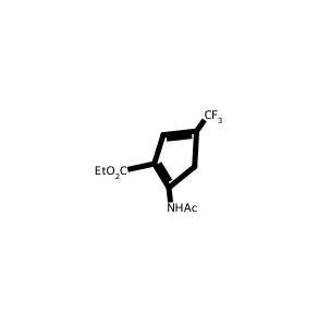 CCOC(=O)C1=C(NC(C)=O)CC(C(F)(F)F)=C1